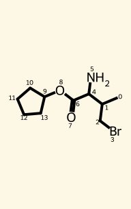 CC(CBr)C(N)C(=O)OC1CCCC1